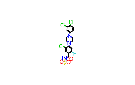 CS(=O)(=O)NC(=O)c1cc(Cl)c(N2CCN(c3ccc(Cl)c(Cl)c3)CC2)cc1F